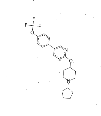 FC(F)(F)Oc1ccc(-c2cnc(OC3CCN(C4CCCC4)CC3)nc2)cc1